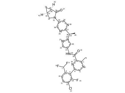 Cc1ncc(-c2c(C(F)F)ccc(Cl)c2F)nc1C(=O)Nc1cnn([C@H](C)c2ncc(N3C[C@H]4C[C@H]4C3=O)cn2)c1